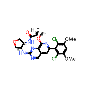 C=CC(=O)N[C@H]1COC[C@H]1Nc1ncc2cc(-c3c(Cl)c(OC)cc(OC)c3Cl)nc(OC(C)C)c2n1